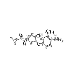 Cc1c(N)ccc(Oc2ccnc(NC(=O)C3CC3)c2)c1Cl